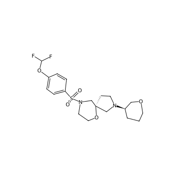 O=S(=O)(c1ccc(OC(F)F)cc1)N1CCO[C@@]2(CCN([C@@H]3CCCOC3)C2)C1